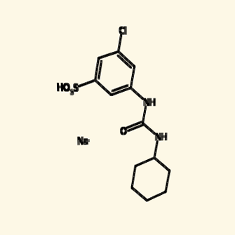 O=C(Nc1cc(Cl)cc(S(=O)(=O)O)c1)NC1CCCCC1.[Na]